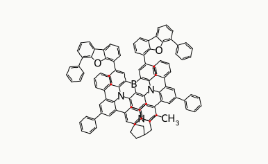 CCC1CC2CCC(C2)N1c1cc2c3c(c1)N(c1c(-c4ccccc4)cc(-c4ccccc4)cc1-c1ccccc1)c1ccc(-c4cccc5c4oc4c(-c6ccccc6)cccc45)cc1B3c1cc(-c3cccc4c3oc3c(-c5ccccc5)cccc34)ccc1N2c1c(-c2ccccc2)cc(-c2ccccc2)cc1-c1ccccc1